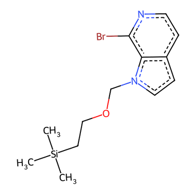 C[Si](C)(C)CCOCn1ccc2ccnc(Br)c21